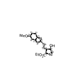 CCOC(=O)c1noc(O)c1N=Nc1nc2ccc(OC)cc2s1